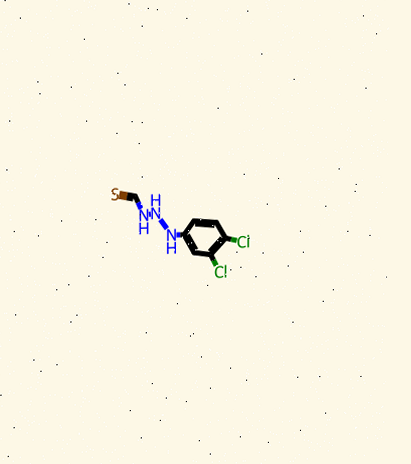 S=CNNNc1ccc(Cl)c(Cl)c1